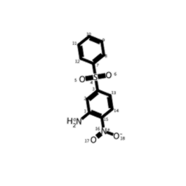 Nc1cc(S(=O)(=O)c2ccccc2)ccc1[N+](=O)[O-]